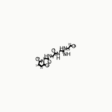 N=C(CNC(=O)CNC(=O)CN1C(=O)C=CC1=O)NCC=O